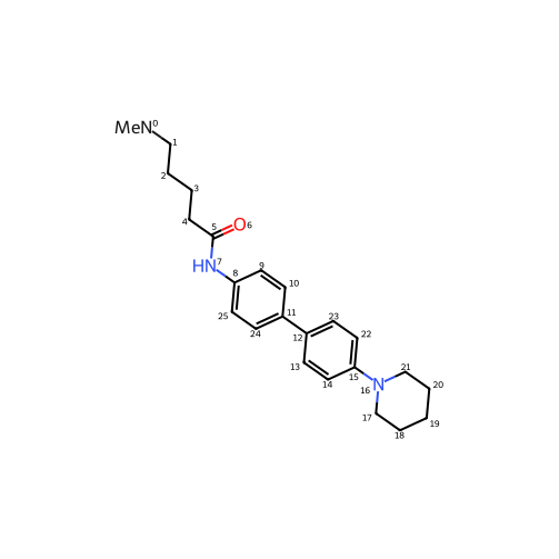 CNCCCCC(=O)Nc1ccc(-c2ccc(N3CCCCC3)cc2)cc1